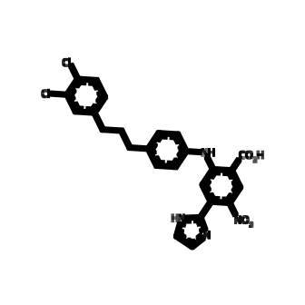 O=C(O)c1cc([N+](=O)[O-])c(-c2ncc[nH]2)cc1Nc1ccc(CCCc2ccc(Cl)c(Cl)c2)cc1